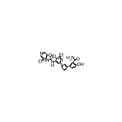 CCn1nc(-c2cccc(-c3ccc(O)c(C(N)=O)c3)c2)cc(NC(=O)Nc2c(Cl)cncc2Cl)c1=O